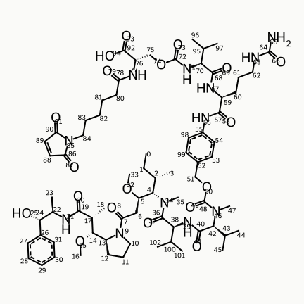 CC[C@H](C)[C@@H]([C@@H](CC(=O)N1CCC[C@H]1[C@H](OC)[C@@H](C)C(=O)N[C@H](C)[C@@H](O)c1ccccc1)OC)N(C)C(=O)[C@@H](NC(=O)[C@H](C(C)C)N(C)C(=O)OCc1ccc(NC(=O)[C@H](CCCNC(N)=O)NC(=O)[C@@H](NC(=O)OC[C@H](NC(=O)CCCCCN2C(=O)C=CC2=O)C(=O)O)C(C)C)cc1)C(C)C